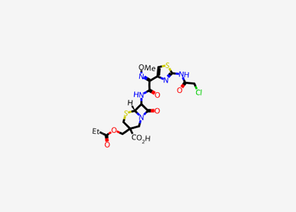 CCC(=O)OCC1(C(=O)O)CS[C@@H]2C(NC(=O)C(=NOC)c3csc(NC(=O)CCl)n3)C(=O)N2C1